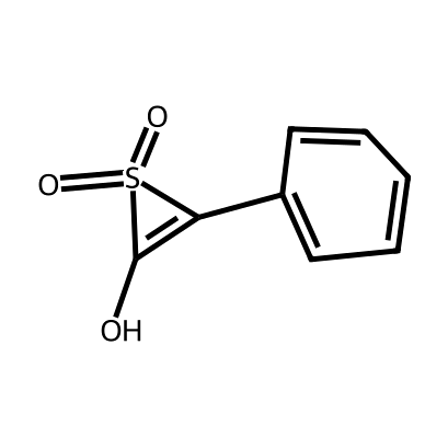 O=S1(=O)C(O)=C1c1ccccc1